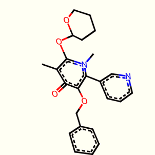 Cc1c(OC2CCCCO2)n(C)c(-c2cccnc2)c(OCc2ccccc2)c1=O